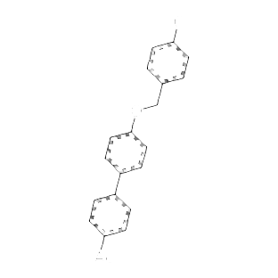 CC(=O)c1ccc(-c2ccc(OCc3ccc(Cl)cc3)cc2)cc1